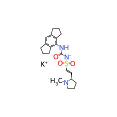 CN1CCC[C@@H]1/C=C/S(=O)(=O)[N-]C(=O)Nc1c2c(cc3c1CCC3)CCC2.[K+]